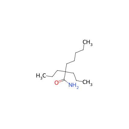 CCCCCC(CCC)(CCC)C(N)=O